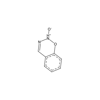 [O-][NH+]1N=Cc2ccccc2O1